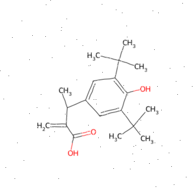 C=C(C(=O)O)C(C)c1cc(C(C)(C)C)c(O)c(C(C)(C)C)c1